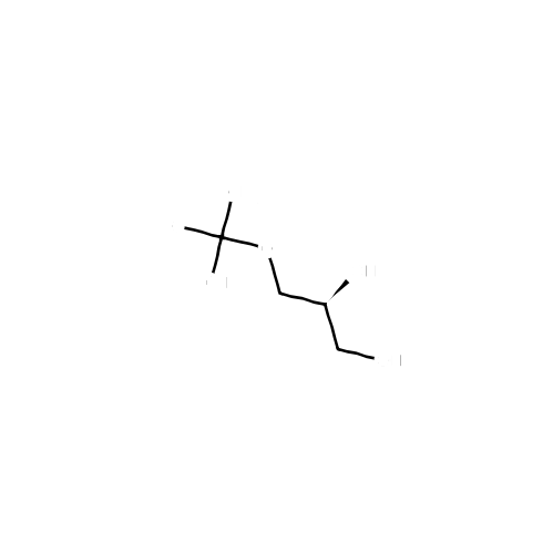 CC(C)(C)OC[C@@H](O)CO